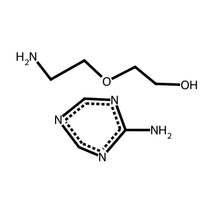 NCCOCCO.Nc1ncncn1